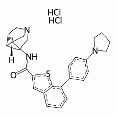 Cl.Cl.O=C(N[C@H]1CN2CCC1CC2)c1cc2cccc(-c3ccc(N4CCCC4)cc3)c2s1